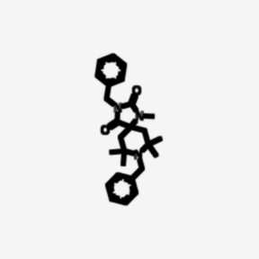 CN1C(=O)N(Cc2ccccc2)C(=O)C12CC(C)(C)N(Cc1ccccc1)C(C)(C)C2